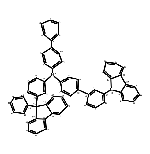 c1ccc(-c2ccc(N(c3ccc(-c4cccc(-n5c6ccccc6c6ccccc65)c4)cc3)c3cccc(C4(c5ccccc5)c5ccccc5-c5ccccc54)c3)cc2)cc1